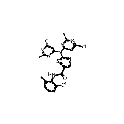 Cc1nc(Cl)cc(N(c2cc(Cl)nc(C)n2)c2ncc(C(=O)Nc3c(C)cccc3Cl)s2)n1